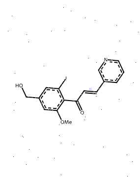 COc1cc(CO)cc(I)c1C(=O)/C=C/c1cccnc1